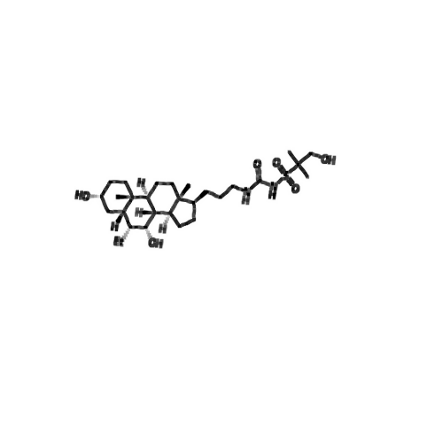 CC[C@H]1[C@@H](O)[C@@H]2[C@H](CC[C@]3(C)[C@@H](CCCNC(=O)NS(=O)(=O)C(C)(C)CO)CC[C@@H]23)[C@@]2(C)CC[C@@H](O)C[C@@H]12